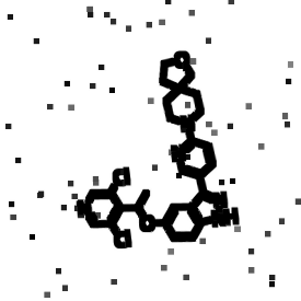 CC(Oc1ccc2[nH]nc(-c3ccc(N4CCC5(CCOC5)CC4)nc3)c2c1)c1c(Cl)cncc1Cl